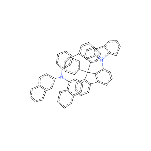 c1ccc(C2(c3ccccc3)c3ccccc3-c3cccc(-n4c5ccccc5c5ccc(-c6cccc(N(c7ccc8ccccc8c7)c7cccc8ccccc78)c6)cc54)c32)cc1